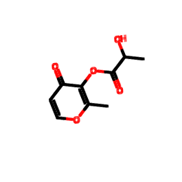 Cc1occc(=O)c1OC(=O)C(C)O